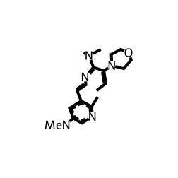 C\C=C(/C(=N\C=C\c1cc(NC)cnc1C)N(C)C)N1CCOCC1